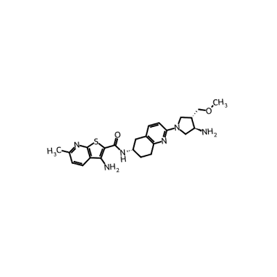 COC[C@H]1CN(c2ccc3c(n2)CC[C@H](NC(=O)c2sc4nc(C)ccc4c2N)C3)C[C@@H]1N